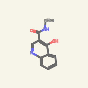 CCCCCCNC(=O)c1cnc2ccccc2c1O